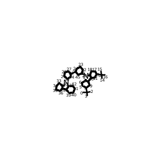 CC(C)(C)c1ccc2c(c1)c1cc(C(C)(C)C)ccc1n2-c1cccc(-c2cccc(-n3c4ccccc4c4ccccc43)c2)c1